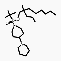 CCCCCCC(C)(CCC)COP(=O)(N1CCC(N2CCCCC2)CC1)C(C)(C)C